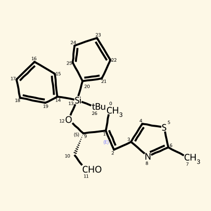 C/C(=C\c1csc(C)n1)[C@H](CC=O)O[Si](c1ccccc1)(c1ccccc1)C(C)(C)C